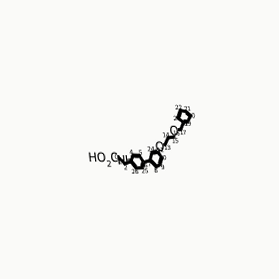 O=C(O)NCc1ccc(-c2cccc(OCCCOCc3ccccc3)c2)cc1